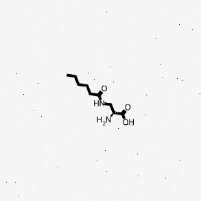 CCCCCC(=O)NC[C@H](N)C(=O)O